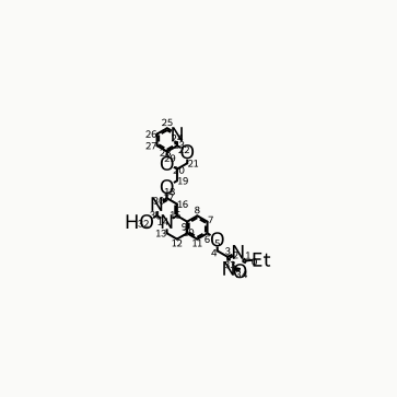 CCc1nc(COc2ccc3c(c2)CCN2C3=CC(OCC3COc4ncccc4O3)=NC2O)no1